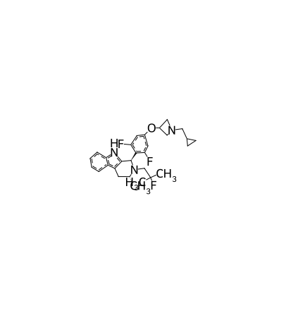 C[C@@H]1Cc2c([nH]c3ccccc23)[C@@H](c2c(F)cc(OC3CN(CC4CC4)C3)cc2F)N1CC(C)(C)F